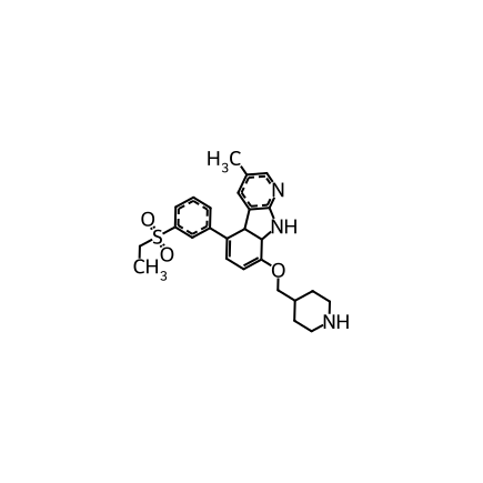 CCS(=O)(=O)c1cccc(C2=CC=C(OCC3CCNCC3)C3Nc4ncc(C)cc4C23)c1